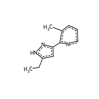 CCc1cc(-c2ncccc2C)n[nH]1